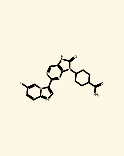 NC(=O)C1CCC(n2c(=O)[nH]c3cnc(-c4cnc5ccc(F)cn45)nc32)CC1